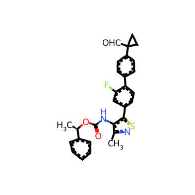 Cc1nsc(-c2ccc(-c3ccc(C4(C=O)CC4)cc3)c(F)c2)c1NC(=O)O[C@H](C)c1ccccc1